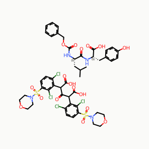 CC(C)C[C@H](NC(=O)OCc1ccccc1)C(=O)N[C@@H](Cc1ccc(O)cc1)C(=O)O.O=C(O)C(C(=O)C(C(=O)O)c1c(Cl)ccc(S(=O)(=O)N2CCOCC2)c1Cl)c1c(Cl)ccc(S(=O)(=O)N2CCOCC2)c1Cl